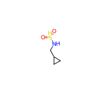 O=[SH](=O)NCC1CC1